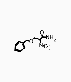 NC(=O)C(COCc1ccccc1)N=C=O